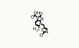 Cc1ccc2n(C(=O)O)c(=O)nc-2n1Cc1cnc(Cl)s1